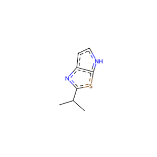 CC(C)c1nc2cc[nH]c2s1